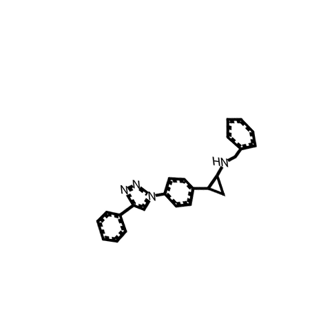 c1ccc(CNC2CC2c2ccc(-n3cc(-c4ccccc4)nn3)cc2)cc1